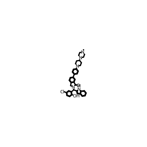 CN1CCN(C2CCN(c3ccc(-c4ccc5c(c4)C(=O)N(C(c4cc6ccccc6[nH]4)c4cc(Cl)ccc4O)C5)cc3)CC2)CC1